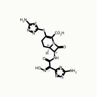 Nc1nc(/C(=N/O)C(=O)N[C@@H]2C(=O)N3C(C(=O)O)=C(Sc4nnc(N)s4)CC[C@H]23)ns1